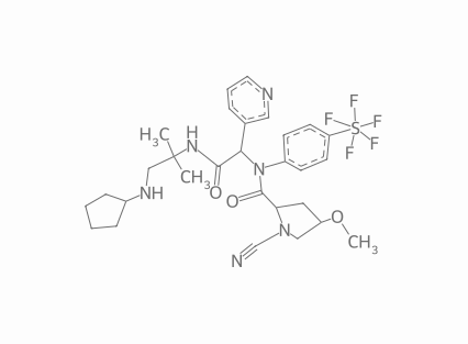 COC1CC(C(=O)N(c2ccc(S(F)(F)(F)(F)F)cc2)C(C(=O)NC(C)(C)CNC2CCCC2)c2cccnc2)N(C#N)C1